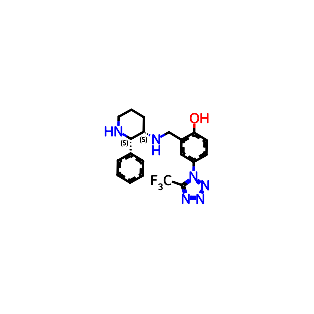 Oc1ccc(-n2nnnc2C(F)(F)F)cc1CN[C@H]1CCCN[C@H]1c1ccccc1